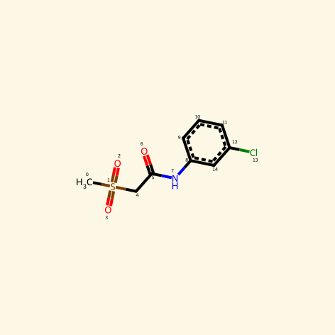 CS(=O)(=O)CC(=O)Nc1cccc(Cl)c1